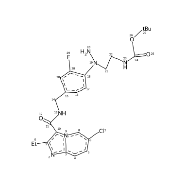 CCc1nc2ccc(Cl)cn2c1C(=O)NCc1ccc(N(N)CCNC(=O)OC(C)(C)C)c(F)c1